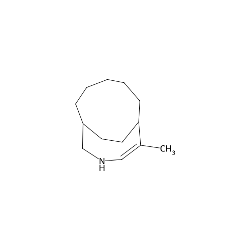 C/C1=C/NCC2CCCCCC1CC2